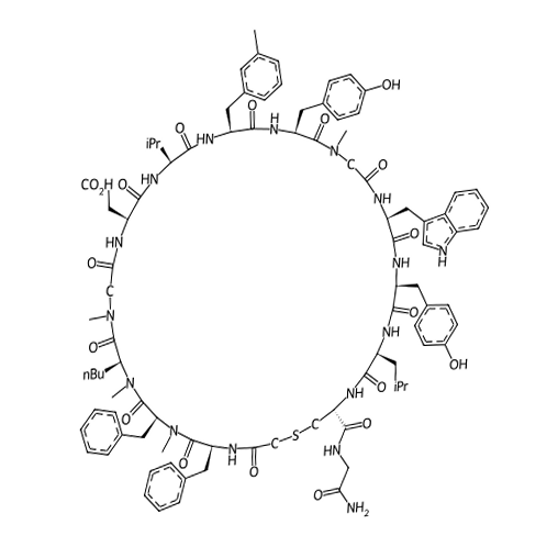 CCCC[C@H]1C(=O)N(C)CC(=O)N[C@@H](CC(=O)O)C(=O)N[C@@H](C(C)C)C(=O)N[C@@H](Cc2cccc(C)c2)C(=O)N[C@@H](Cc2ccc(O)cc2)C(=O)N(C)CC(=O)N[C@@H](Cc2c[nH]c3ccccc23)C(=O)N[C@@H](Cc2ccc(O)cc2)C(=O)N[C@@H](CC(C)C)C(=O)N[C@H](C(=O)NCC(N)=O)CSCC(=O)N[C@@H](Cc2ccccc2)C(=O)N(C)[C@@H](Cc2ccccc2)C(=O)N1C